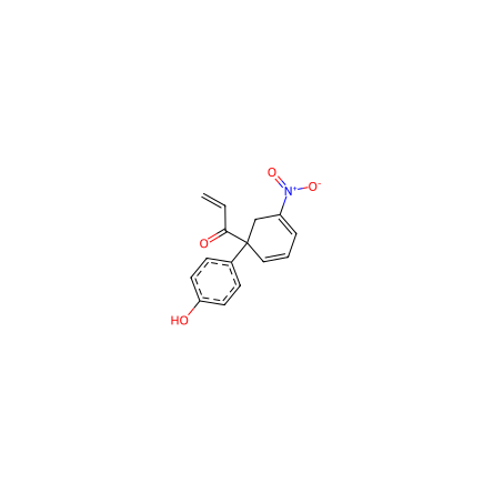 C=CC(=O)C1(c2ccc(O)cc2)C=CC=C([N+](=O)[O-])C1